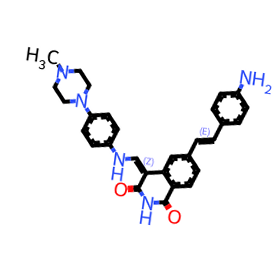 CN1CCN(c2ccc(N/C=C3\C(=O)NC(=O)c4ccc(/C=C/c5ccc(N)cc5)cc43)cc2)CC1